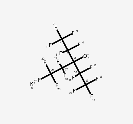 [K+].[O-]C(C(F)(F)C(F)(F)F)(C(F)(F)C(F)(F)F)C(F)(F)C(F)(F)F